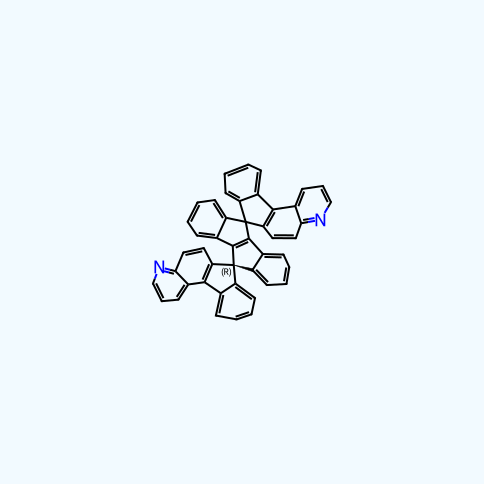 c1ccc2c(c1)C1=C(c3ccccc3[C@]13c1ccccc1-c1c3ccc3ncccc13)C21c2ccccc2-c2c1ccc1ncccc21